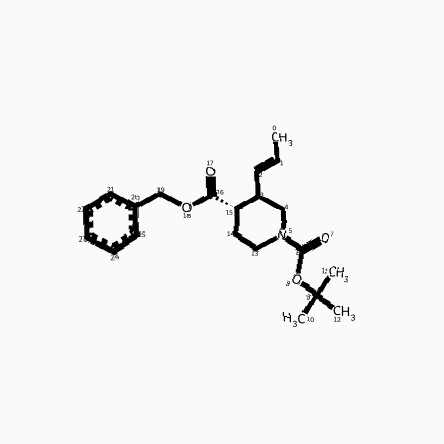 C/C=C/C1CN(C(=O)OC(C)(C)C)CC[C@@H]1C(=O)OCc1ccccc1